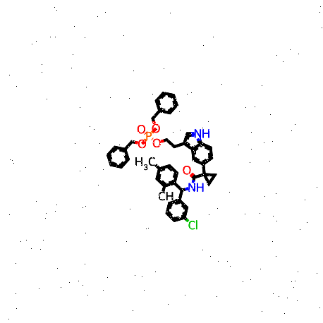 Cc1ccc(C(NC(=O)C2(c3ccc4[nH]cc(CCOP(=O)(OCc5ccccc5)OCc5ccccc5)c4c3)CC2)c2cccc(Cl)c2)c(C)c1